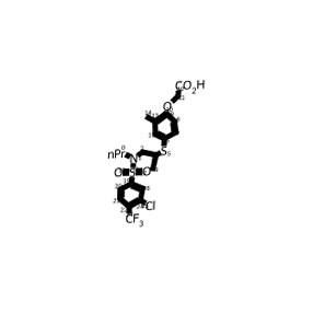 CCCN(CC(C)Sc1ccc(OCC(=O)O)c(C)c1)S(=O)(=O)c1ccc(C(F)(F)F)c(Cl)c1